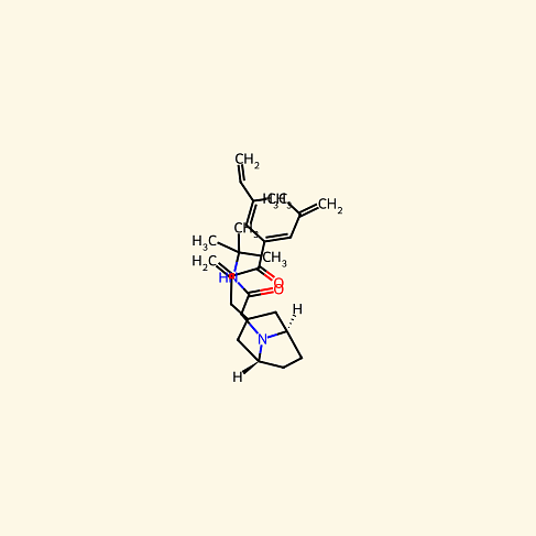 C=C/C(C)=C/C(=C\C(=C)C)C(=O)C(=C)CC1C[C@H]2CC[C@H](C1)N2CC(=O)NC(C)(C)C